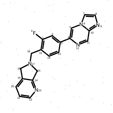 Fc1cc(-c2cn3ccnc3cn2)ccc1CN1Cc2cccnc2C1